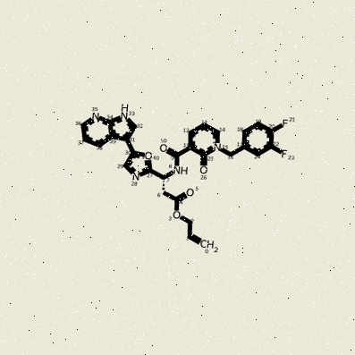 C=CCOC(=O)C[C@@H](NC(=O)c1cccn(Cc2ccc(F)c(F)c2)c1=O)c1ncc(-c2c[nH]c3ncccc23)o1